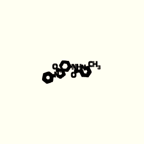 Cc1cccc(C(=O)N[C@H]2CCC[C@]3(CCN(c4ccccc4)C3=O)C2)n1